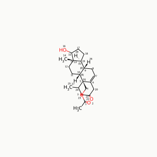 CC(=O)OC[C@]12C(=CC[C@@H]3[C@H]1CC[C@]1(C)C(O)CC[C@@H]31)CC(=O)CC2C